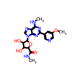 CNC(=O)C1OC(n2cnc3c(NC)nc(-c4cncc(OC)c4)nc32)C(O)C1O